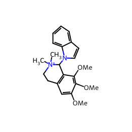 COc1cc2c(c(OC)c1OC)C(n1ccc3ccccc31)[N+](C)(C)CC2